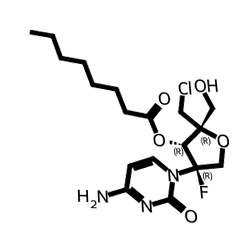 CCCCCCCC(=O)O[C@@H]1[C@](CO)(CCl)OC[C@]1(F)n1ccc(N)nc1=O